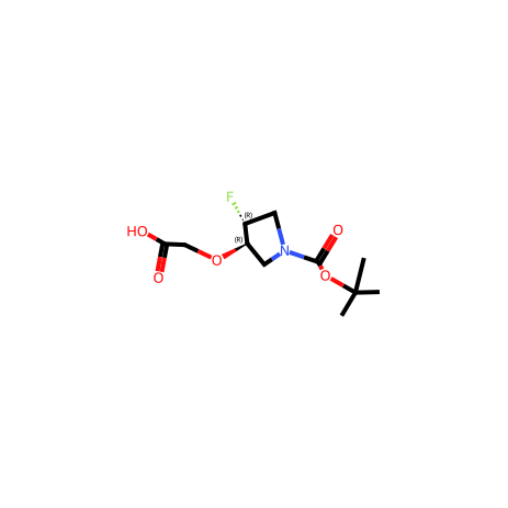 CC(C)(C)OC(=O)N1C[C@@H](F)[C@H](OCC(=O)O)C1